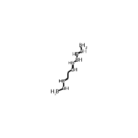 BBBBBBCCBBB